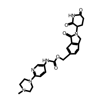 CN1CCN(c2ccc(NC(=O)OCc3ccc4c(c3)C(=O)N(C3CCC(=O)NC3=O)C4)cn2)CC1